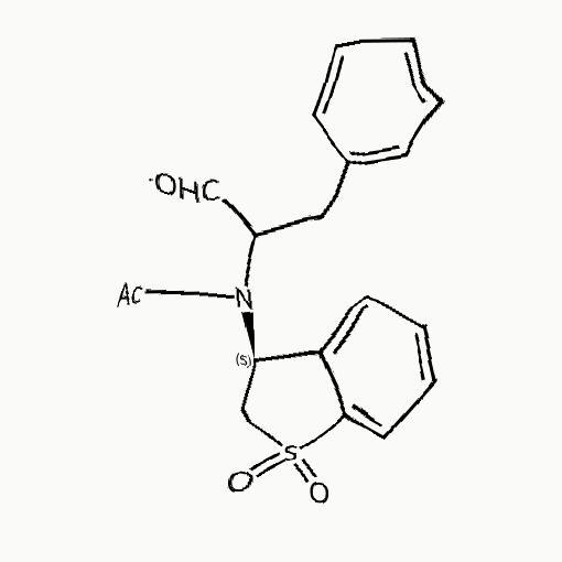 CC(=O)N(C([C]=O)Cc1ccccc1)[C@@H]1CS(=O)(=O)c2ccccc21